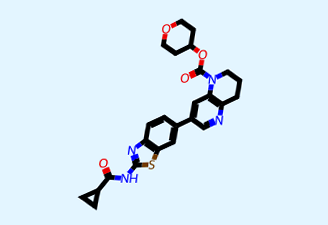 O=C(Nc1nc2ccc(-c3cnc4c(c3)N(C(=O)OC3CCOCC3)CCC4)cc2s1)C1CC1